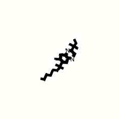 CCCCCCC(C)(C)c1cc2ncc(C(C)(C)CC)nc2cc1C